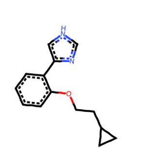 c1ccc(-c2c[nH]cn2)c(OCCC2CC2)c1